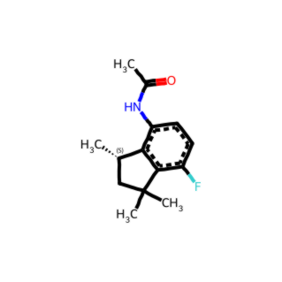 CC(=O)Nc1ccc(F)c2c1[C@@H](C)CC2(C)C